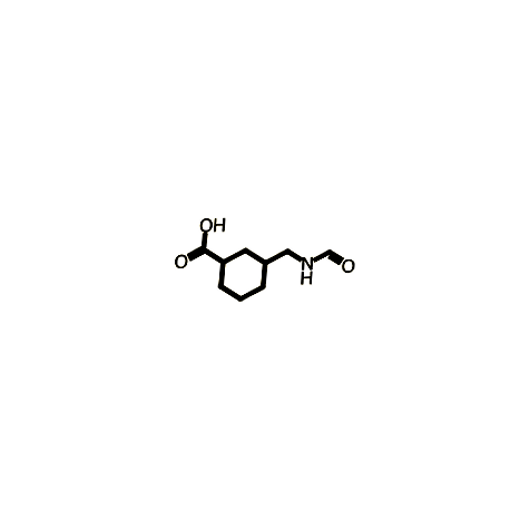 O=CNCC1CCCC(C(=O)O)C1